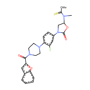 COC(=S)N(C)C1CN(c2ccc(N3CCN(C(=O)c4cc5ccccc5o4)CC3)c(F)c2)C(=O)O1